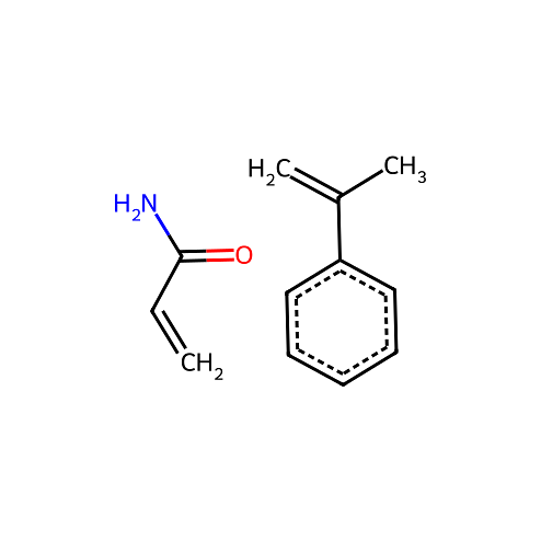 C=C(C)c1ccccc1.C=CC(N)=O